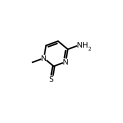 Cn1ccc(N)nc1=S